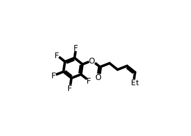 CC/C=C\CCC(=O)Oc1c(F)c(F)c(F)c(F)c1F